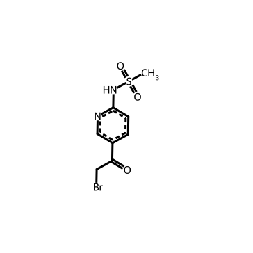 CS(=O)(=O)Nc1ccc(C(=O)CBr)cn1